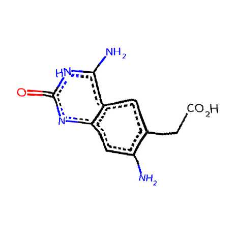 Nc1cc2nc(=O)[nH]c(N)c2cc1CC(=O)O